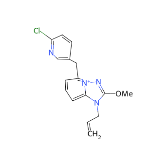 C=CCn1c(OC)n[n+]2c(Cc3ccc(Cl)nc3)cccc12